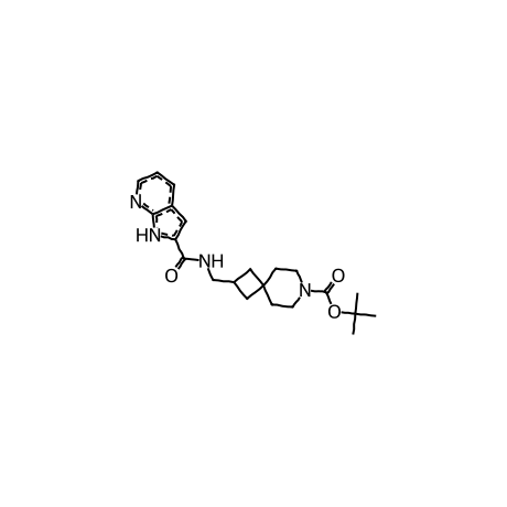 CC(C)(C)OC(=O)N1CCC2(CC1)CC(CNC(=O)c1cc3cccnc3[nH]1)C2